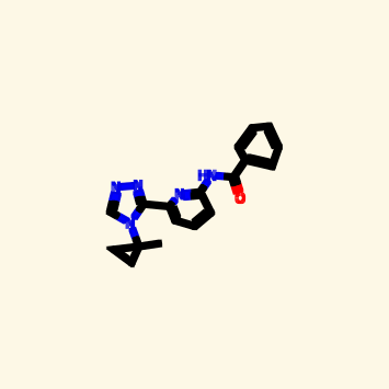 CC1(n2cnnc2-c2cccc(NC(=O)c3ccccc3)n2)CC1